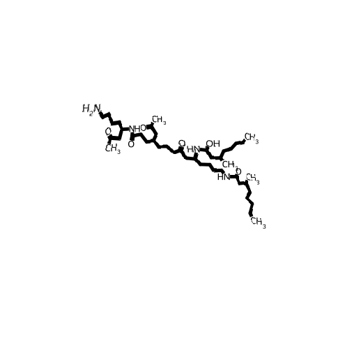 CCCCCC(C)CC(=O)NCCCCC(CC(=O)CCCC(CCC(=O)NC(CCCCN)CC(C)=O)CC(C)=O)NC(O)CC(C)CCCCC